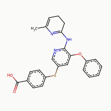 CC1=CCCC(Nc2ncc(Sc3ccc(C(=O)O)cc3)cc2Oc2ccccc2)=N1